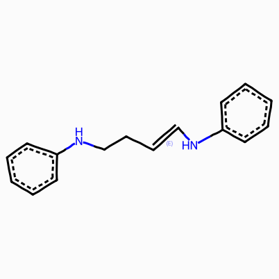 C(=C\Nc1ccccc1)/CCNc1ccccc1